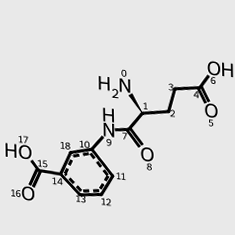 N[C@@H](CCC(=O)O)C(=O)Nc1cccc(C(=O)O)c1